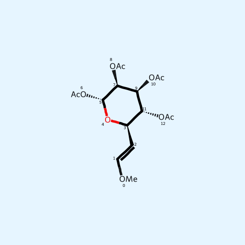 CO/C=C/[C@H]1O[C@H](OC(C)=O)[C@@H](OC(C)=O)[C@@H](OC(C)=O)[C@@H]1OC(C)=O